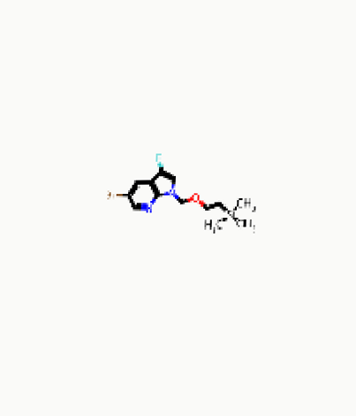 C[Si](C)(C)CCOCn1cc(F)c2cc(Br)cnc21